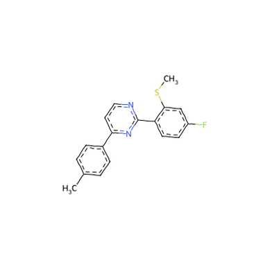 CSc1cc(F)ccc1-c1nccc(-c2ccc(C)cc2)n1